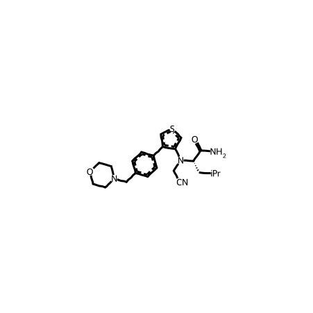 CC(C)C[C@@H](C(N)=O)N(CC#N)c1cscc1-c1ccc(CN2CCOCC2)cc1